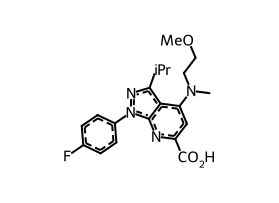 COCCN(C)c1cc(C(=O)O)nc2c1c(C(C)C)nn2-c1ccc(F)cc1